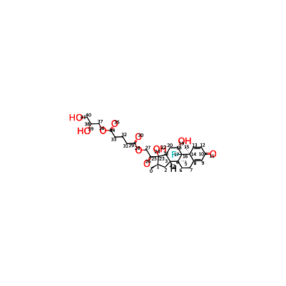 C[C@@H]1C[C@H]2[C@]3(C)CCC4=CC(=O)C=C[C@]4(C)[C@@]3(F)[C@@H](O)C[C@]2(C)[C@@]1(O)C(=O)COC(=O)CCCC(=O)OCC(O)CO